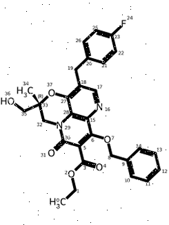 CCOC(=O)c1c(OCc2ccccc2)c2ncc(Cc3ccc(F)cc3)c3c2n(c1=O)C[C@](C)(CO)O3